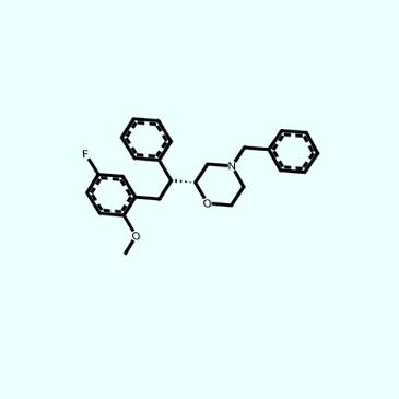 COc1ccc(F)cc1CC(c1ccccc1)[C@@H]1CN(Cc2ccccc2)CCO1